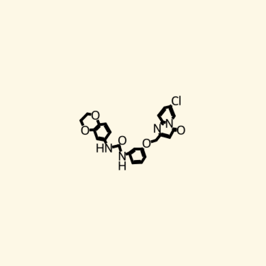 O=C(Nc1cccc(OCc2cc(=O)n3cc(Cl)ccc3n2)c1)Nc1ccc2c(c1)OCCO2